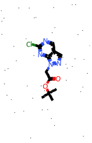 CC(C)(C)OC(=O)Cn1ncc2cnc(Cl)nc21